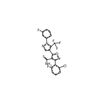 NC(=S)c1c(-c2c(F)cccc2Cl)noc1-c1cnn(-c2cccc(F)c2)c1C(F)(F)F